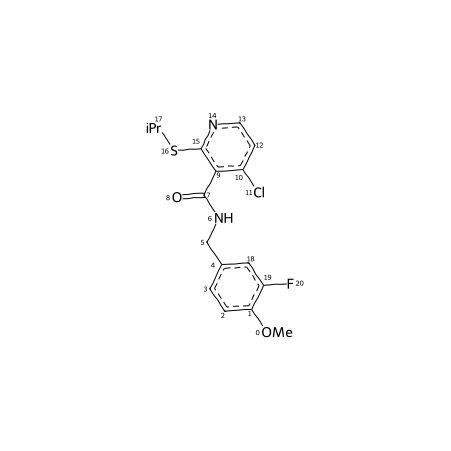 COc1ccc(CNC(=O)c2c(Cl)ccnc2SC(C)C)cc1F